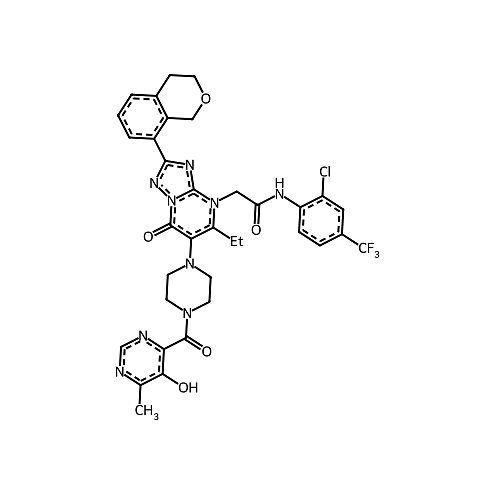 CCc1c(N2CCN(C(=O)c3ncnc(C)c3O)CC2)c(=O)n2nc(-c3cccc4c3COCC4)nc2n1CC(=O)Nc1ccc(C(F)(F)F)cc1Cl